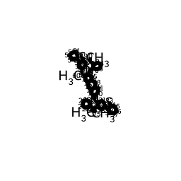 CCc1ccccc1N(c1ccc2cc3cc(N4c5ccccc5C(C)(C)c5cc6c(cc54)sc4ccccc46)ccc3cc2c1)c1cc2sc3ccccc3c2cc1CC